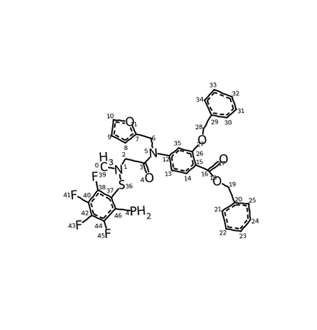 CN(CC(=O)N(Cc1ccco1)c1ccc(C(=O)OCc2ccccc2)c(OCc2ccccc2)c1)Sc1c(F)c(F)c(F)c(F)c1P